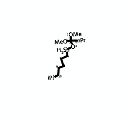 CCCC(OC)(OC)O[SiH2]CCCCCC(C)C